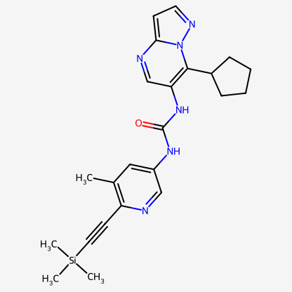 Cc1cc(NC(=O)Nc2cnc3ccnn3c2C2CCCC2)cnc1C#C[Si](C)(C)C